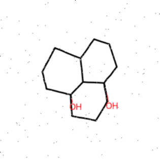 OC12CCCC3CCCC(O)(CCC1)C32